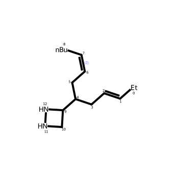 CCC=CCC(C/C=C\CCCC)C1CNN1